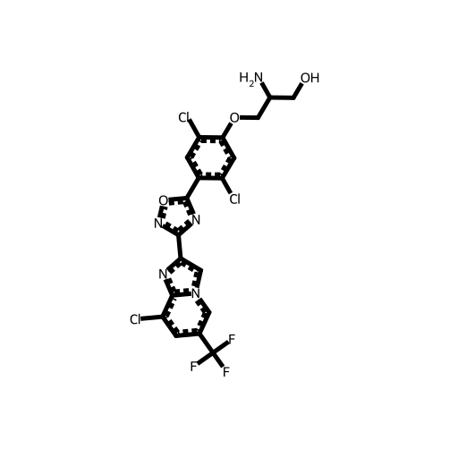 NC(CO)COc1cc(Cl)c(-c2nc(-c3cn4cc(C(F)(F)F)cc(Cl)c4n3)no2)cc1Cl